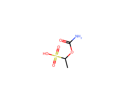 CC(OC(N)=O)S(=O)(=O)O